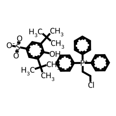 CC(C)(C)c1cc(S(=O)(=O)[O-])cc(C(C)(C)C)c1O.ClCC[P+](c1ccccc1)(c1ccccc1)c1ccccc1